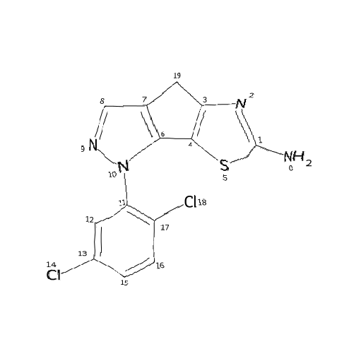 Nc1nc2c(s1)-c1c(cnn1-c1cc(Cl)ccc1Cl)C2